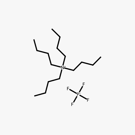 CCCC[N+](CCCC)(CCCC)CCCC.F[P-](F)(F)F